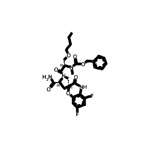 CCCCOC[C@@H](C(=O)N1C[C@@]2(C[C@H]1C(N)=O)Oc1cc(F)cc(F)c1NC2=O)N(C)C(=O)OCc1ccccc1